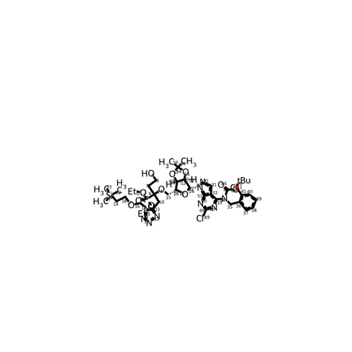 CCOP(=O)(OCC)C(CCO)(Cc1nnnn1COCC[Si](C)(C)C)OC[C@H]1O[C@@H](n2ncc3c(N(Cc4ccccc4Cl)C(=O)OC(C)(C)C)nc(Cl)nc32)[C@@H]2OC(C)(C)O[C@@H]21